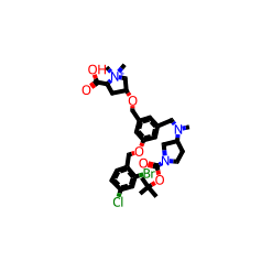 CN(Cc1cc(COC2CC(C(=O)O)[N+](C)(C)C2)cc(OCc2ccc(Cl)cc2Br)c1)C1CCN(C(=O)OC(C)(C)C)C1